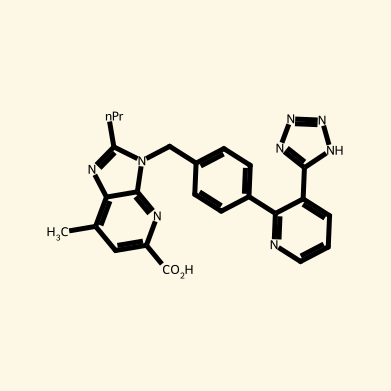 CCCc1nc2c(C)cc(C(=O)O)nc2n1Cc1ccc(-c2ncccc2-c2nnn[nH]2)cc1